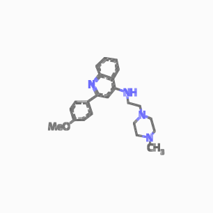 COc1ccc(-c2cc(NCCN3CCN(C)CC3)c3ccccc3n2)cc1